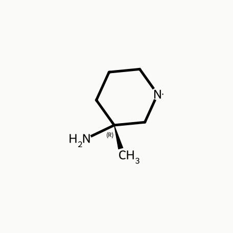 C[C@@]1(N)CCC[N]C1